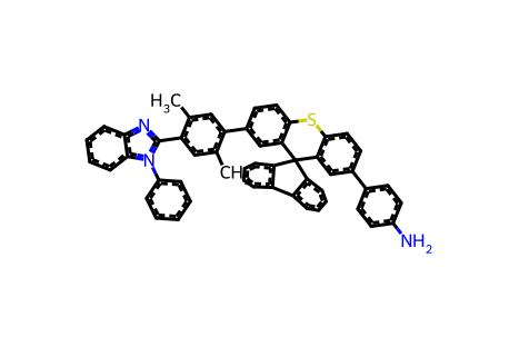 Cc1cc(-c2nc3ccccc3n2-c2ccccc2)c(C)cc1-c1ccc2c(c1)C1(c3cc(-c4ccc(N)cc4)ccc3S2)c2ccccc2-c2ccccc21